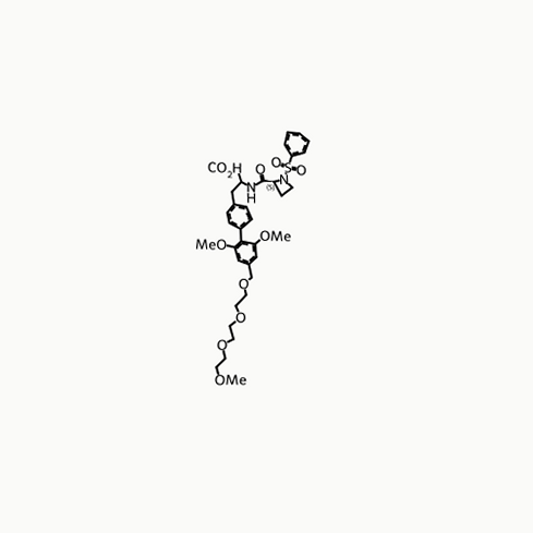 COCCOCCOCCOCc1cc(OC)c(-c2ccc(CC(NC(=O)[C@@H]3CCN3S(=O)(=O)c3ccccc3)C(=O)O)cc2)c(OC)c1